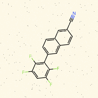 N#Cc1ccc2cc(-c3c(F)c(F)cc(F)c3F)ccc2c1